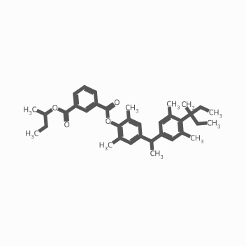 CCC(C)OC(=O)c1cccc(C(=O)Oc2c(C)cc(C(C)c3cc(C)c(C(C)(CC)CC)c(C)c3)cc2C)c1